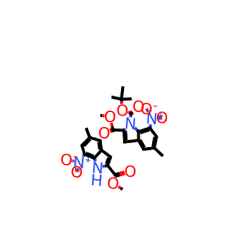 COC(=O)c1cc2cc(C)cc([N+](=O)[O-])c2[nH]1.COC(=O)c1cc2cc(C)cc([N+](=O)[O-])c2n1C(=O)OC(C)(C)C